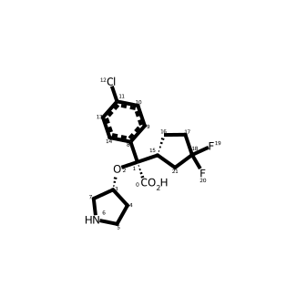 O=C(O)[C@](O[C@@H]1CCNC1)(c1ccc(Cl)cc1)[C@@H]1CCC(F)(F)C1